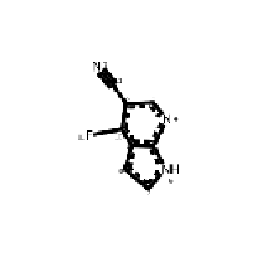 N#Cc1cnc2[nH]ccc2c1F